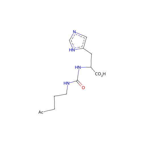 CC(=O)CCCNC(=O)NC(Cc1cnc[nH]1)C(=O)O